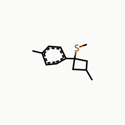 CSC1(c2ccc(C)cc2)CC(C)C1